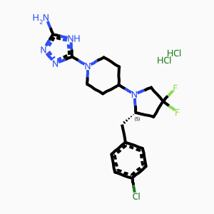 Cl.Cl.Nc1nnc(N2CCC(N3CC(F)(F)C[C@@H]3Cc3ccc(Cl)cc3)CC2)[nH]1